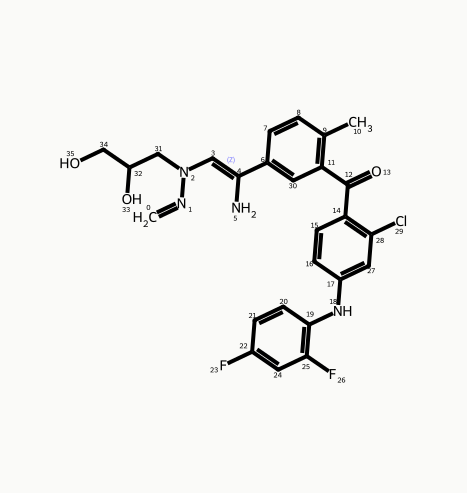 C=NN(/C=C(\N)c1ccc(C)c(C(=O)c2ccc(Nc3ccc(F)cc3F)cc2Cl)c1)CC(O)CO